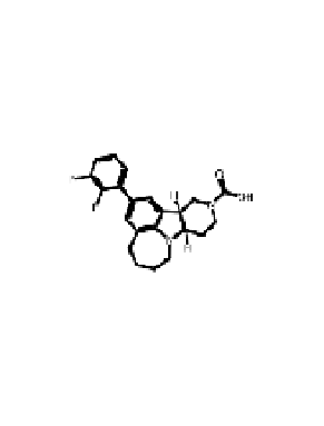 O=C(O)N1CC[C@H]2[C@@H](C1)c1cc(-c3cccc(F)c3F)cc3c1N2CCCC3